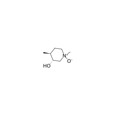 C[C@H]1CC[N+](C)([O-])C[C@@H]1O